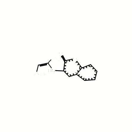 O=C(O)/C=C(\Nc1cc2ccccc2oc1=O)C(=O)O